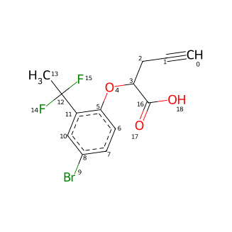 C#CCC(Oc1ccc(Br)cc1C(C)(F)F)C(=O)O